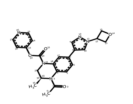 CC(=O)N1c2ccc(-c3cnn(C4COC4)c3)cc2N(C(=O)Oc2ccncc2)C[C@@H]1C